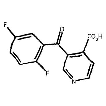 O=C(O)c1ccncc1C(=O)c1cc(F)ccc1F